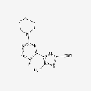 Cn1nc(C#N)nc1-c1nc(N2CCCCC2)ncc1F